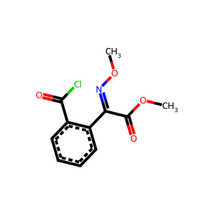 CON=C(C(=O)OC)c1ccccc1C(=O)Cl